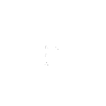 [B].[Ni].[P].[W]